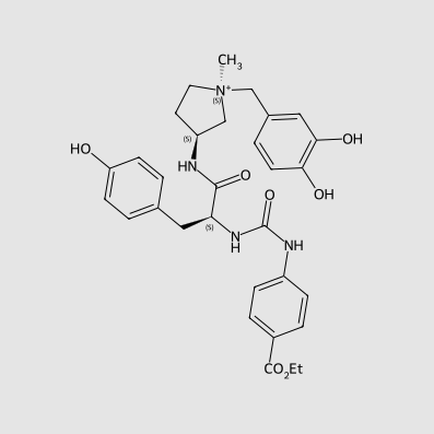 CCOC(=O)c1ccc(NC(=O)N[C@@H](Cc2ccc(O)cc2)C(=O)N[C@H]2CC[N@@+](C)(Cc3ccc(O)c(O)c3)C2)cc1